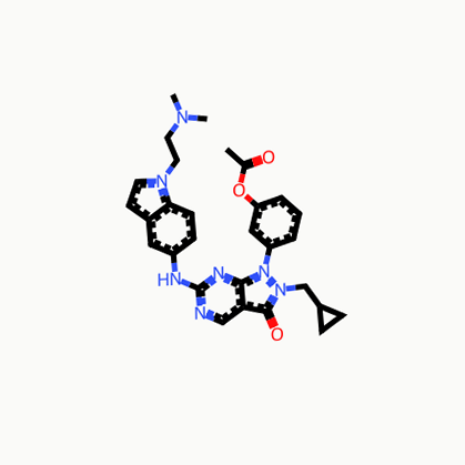 CC(=O)Oc1cccc(-n2c3nc(Nc4ccc5c(ccn5CCN(C)C)c4)ncc3c(=O)n2CC2CC2)c1